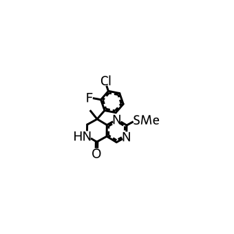 CSc1ncc2c(n1)C(C)(c1cccc(Cl)c1F)CNC2=O